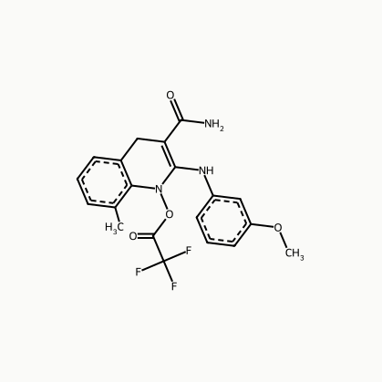 COc1cccc(NC2=C(C(N)=O)Cc3cccc(C)c3N2OC(=O)C(F)(F)F)c1